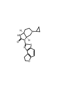 O=C1N[C@H]2CCN(C3CC3)C[C@H]2N1c1nc2c3c(ccc2s1)OCC3